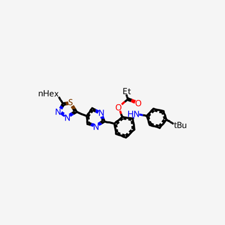 CCCCCCc1nnc(-c2cnc(-c3cccc(Nc4ccc(C(C)(C)C)cc4)c3OC(=O)CC)nc2)s1